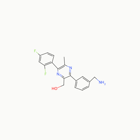 Cc1nc(-c2cccc(CN)c2)c(CO)nc1-c1ccc(F)cc1F